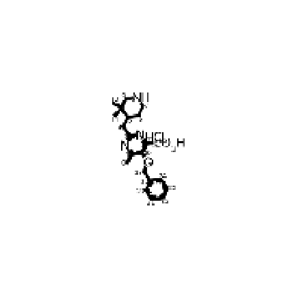 Cc1nc(CC2CCNCC2(C)C)nc(C(=O)O)c1OCc1ccccc1.Cl